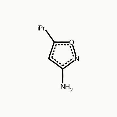 CC(C)c1cc(N)no1